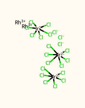 [Cl-].[Cl-].[Cl-].[Cl][Ir-2]([Cl])([Cl])([Cl])([Cl])[Cl].[Cl][Ir-2]([Cl])([Cl])([Cl])([Cl])[Cl].[Cl][Ir-2]([Cl])([Cl])([Cl])([Cl])[Cl].[Rh+3].[Rh+3]